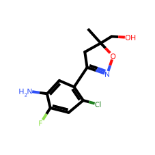 CC1(CO)CC(c2cc(N)c(F)cc2Cl)=NO1